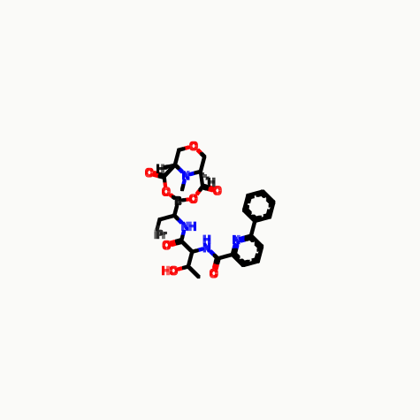 CC(C)CC(NC(=O)C(NC(=O)c1cccc(-c2ccccc2)n1)C(C)O)B1OC(=O)[C@@H]2COC[C@@H](C(=O)O1)N2C